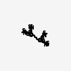 Cc1nc(COc2ccc(CCCCc3ccc(OCc4csc(C)n4)c(OCc4csc(C)n4)c3)cc2OCc2csc(C)n2)cs1